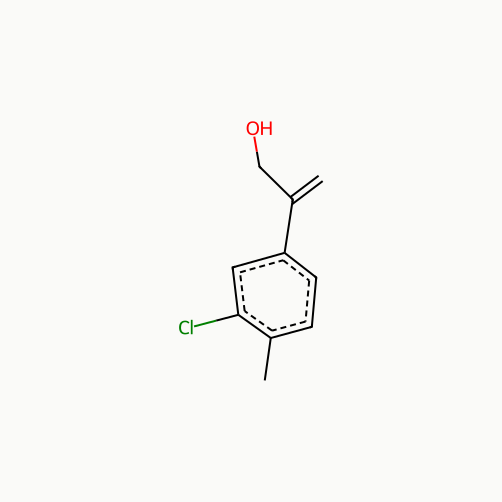 C=C(CO)c1ccc(C)c(Cl)c1